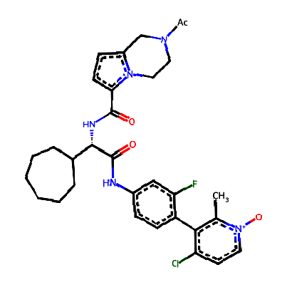 CC(=O)N1CCn2c(ccc2C(=O)N[C@H](C(=O)Nc2ccc(-c3c(Cl)cc[n+]([O-])c3C)c(F)c2)C2CCCCCC2)C1